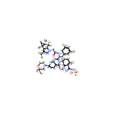 Cn1nc(NS(C)(=O)=O)c2c(Cl)ccc(-n3c([C@H](Cc4cc(F)cc(F)c4)NC(=O)Cn4nc(C(F)F)c5c4C(F)(F)[C@@H]4C[C@H]54)nc4nc(N5CCOC(C)(C)C5)ccc4c3=O)c21